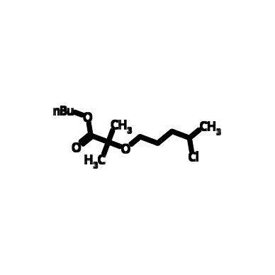 CCCCOC(=O)C(C)(C)OCCCC(C)Cl